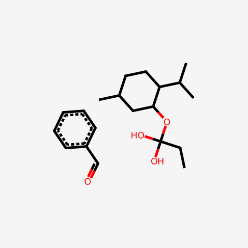 CCC(O)(O)OC1CC(C)CCC1C(C)C.O=Cc1ccccc1